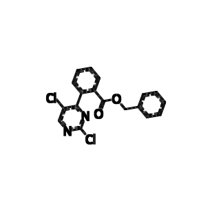 O=C(OCc1ccccc1)c1ccccc1-c1nc(Cl)ncc1Cl